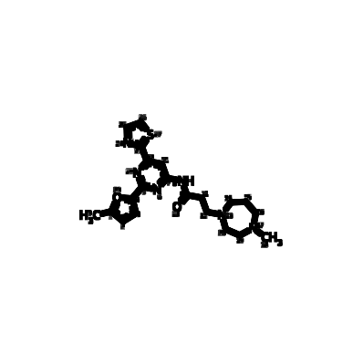 Cc1ccc(-c2nc(NC(=O)CCN3CCCN(C)CC3)cc(-c3nccs3)n2)o1